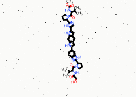 COC(=O)NC(C(=O)N1CCCC1c1ncc(-c2cc3cc4cc(-c5ccc6nc(C7CCCN7C(=O)C(NC(=O)CO)C(C)C)[nH]c6c5)[nH]c4cc3[nH]2)[nH]1)C(C)C